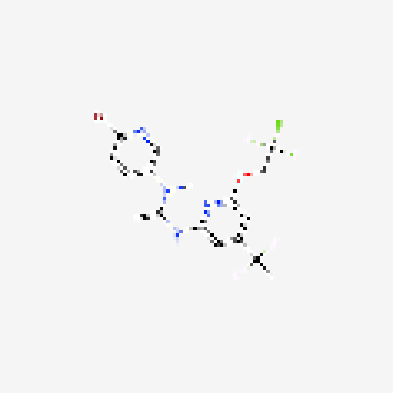 C=C(Nc1cc(C(C)(F)F)cc(OCC(F)(F)F)n1)N(C)c1ccc(Br)nc1